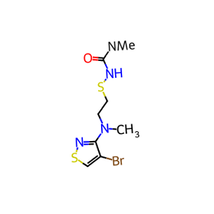 CNC(=O)NSCCN(C)c1nscc1Br